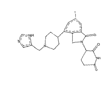 O=C1CCC(N2Cc3c(cc(F)cc3C3CCN(Cc4cnc[nH]4)CC3)C2=O)C(=O)N1